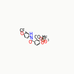 O=C(Nc1ccc(OC(F)(F)F)cc1)c1cccc(OS(=O)(=O)C(F)(F)F)c1C(=O)O